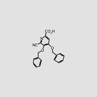 N#Cc1nc(C(=O)O)cc(OCc2ccccc2)c1OCc1ccccc1